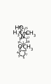 CC1(Oc2ccccc2)CCN(C(C)(C)CO)CC1